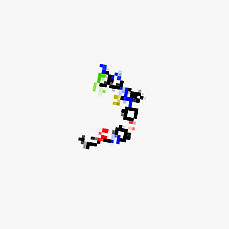 COC(=O)CN1CCC(Oc2ccc(N3C(=S)N(c4cnc(C#N)c(C(F)(F)F)c4)CC34CCC4)cc2)CC1